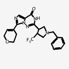 O=c1[nH]c(C2CN(Cc3ccccc3)CC2C(F)(F)F)nn2c(C3=CCOCC3)ncc12